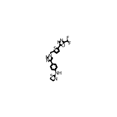 FC(F)c1nnc(-c2ccc(Cn3cc(-c4ccc(NC5=NCCS5)cc4)nn3)s2)o1